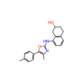 Cc1ccc(-c2oc(Nc3cccc4c3CC(O)CC4)nc2C)cc1